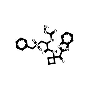 CC(C)(C)OC(=O)NC(CS(=O)(=O)Cc1ccccc1)C(=O)NC1(C(=O)c2nc3ccccc3o2)CCC1